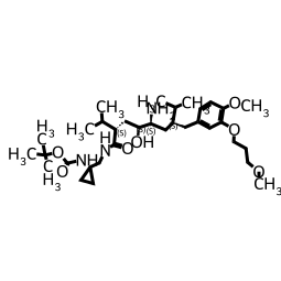 COCCCOc1cc(C[C@@H](C[C@H](N)[C@@H](O)C[C@H](C(=O)NCC2(NC(=O)OC(C)(C)C)CC2)C(C)C)C(C)C)ccc1OC